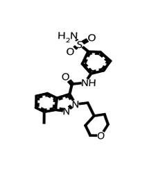 Cc1cccc2c(C(=O)Nc3cccc(S(N)(=O)=O)c3)n(CC3CCOCC3)nc12